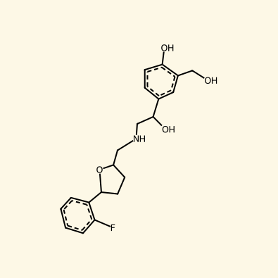 OCc1cc(C(O)CNCC2CCC(c3ccccc3F)O2)ccc1O